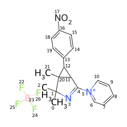 CC1(C)N=C([n+]2ccccc2)C2C(c3ccc([N+](=O)[O-])cc3)C21C.F[B-](F)(F)F